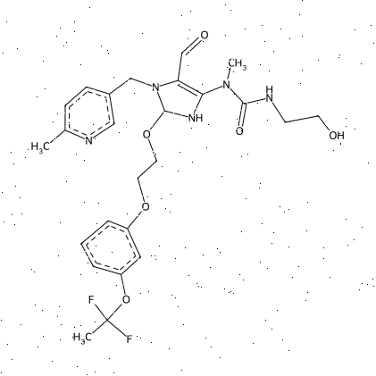 Cc1ccc(CN2C(C=O)=C(N(C)C(=O)NCCO)NC2OCCOc2cccc(OC(C)(F)F)c2)cn1